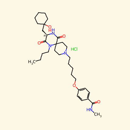 CCCCN1C(=O)[C@@H](CC2(O)CCCCC2)NC(=O)C12CCN(CCCCCOc1ccc(C(=O)NC)cc1)CC2.Cl